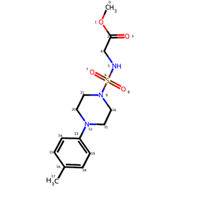 COC(=O)CNS(=O)(=O)N1CCN(c2ccc(C)cc2)CC1